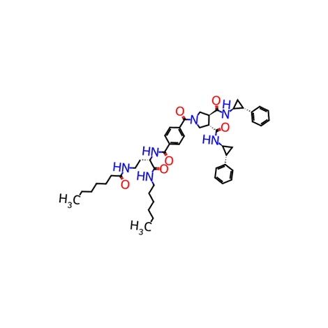 CCCCCCNC(=O)[C@H](CCNC(=O)CCCCCC)NC(=O)c1ccc(C(=O)N2C[C@@H](C(=O)N[C@H]3C[C@@H]3c3ccccc3)[C@H](C(=O)N[C@H]3C[C@@H]3c3ccccc3)C2)cc1